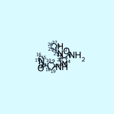 NC(=O)c1cnc(Nc2ccc(C(=O)N3CCC3)cc2)cc1NCC1CCCC1